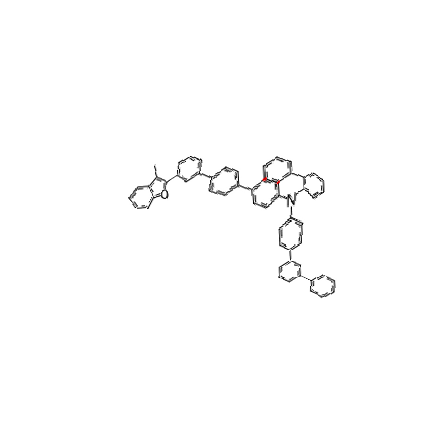 Cc1c(-c2cccc(-c3ccc(-c4ccc(N(c5ccc(-c6cccc(-c7ccccc7)c6)cc5)c5ccccc5-c5ccccc5)cc4)cc3)c2)oc2ccccc12